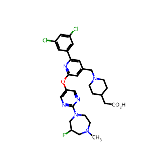 CN1CCN(c2ncc(Oc3cc(CN4CCC(CC(=O)O)CC4)cc(-c4cc(Cl)cc(Cl)c4)n3)cn2)CC(F)C1